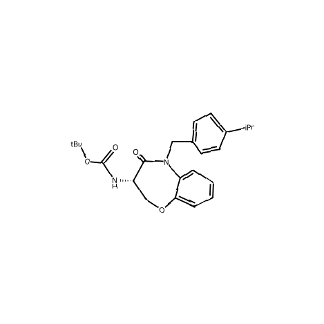 CC(C)c1ccc(CN2C(=O)[C@@H](NC(=O)OC(C)(C)C)COc3ccccc32)cc1